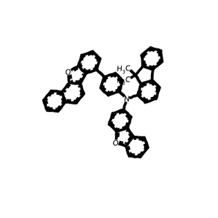 CC1(C)c2ccccc2-c2cccc(N(c3ccc(-c4cccc5oc6c7ccccc7ccc6c45)cc3)c3ccc4oc5ccccc5c4c3)c21